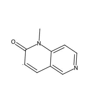 Cn1c(=O)[c]cc2cnccc21